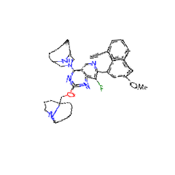 C#Cc1cccc2cc(OC)cc(-c3ncc4c(N5CC6CCC(C5)N6)nc(OCC56CCCN5CCC6)nc4c3F)c12